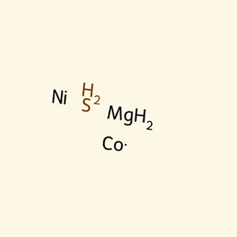 S.[Co].[MgH2].[Ni]